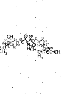 CCOP(=O)(Cc1ccc(COC(=O)C(NC(C)=O)C(=O)OCc2ccc(CP(=O)(OCC)OCC)cc2)cc1)OCC